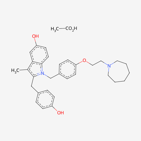 CC(=O)O.Cc1c(Cc2ccc(O)cc2)n(Cc2ccc(OCCN3CCCCCC3)cc2)c2ccc(O)cc12